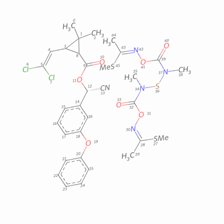 CC1(C)C(C=C(Cl)Cl)C1C(=O)O[C@H](C#N)c1cccc(Oc2ccccc2)c1.CS/C(C)=N\OC(=O)N(C)SN(C)C(=O)O/N=C(/C)SC